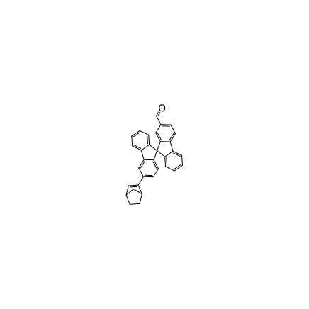 O=Cc1ccc2c(c1)C1(c3ccccc3-c3cc(C4=CC5CCC4C5)ccc31)c1ccccc1-2